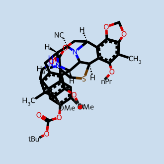 CCCOc1c(C)c2c(c3c1[C@H]1SC[C@]4(NCCc5cc(OC(=O)OC(C)(C)C)c(OC)cc54)C(=O)OC[C@@H]3N3C1[C@@H]1c4c(cc(C)c(OC)c4OCC)C[C@H]([C@@H]3C#N)N1C)OCO2